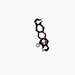 O=c1ooc2c1C1c3cc4ccsc4cc3C2c2cc3ccsc3cc21